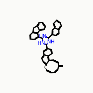 C=C1/C=C\C=C/Cc2ccc3cc(C4NC(c5ccc6ccccc6c5)NC(c5cccc6c5-c5ccccc5C6)N4)ccc3c2/C=C\1